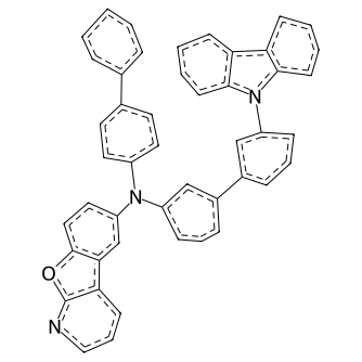 c1ccc(-c2ccc(N(c3cccc(-c4cccc(-n5c6ccccc6c6ccccc65)c4)c3)c3ccc4oc5ncccc5c4c3)cc2)cc1